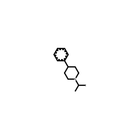 CC(I)N1CCC(c2ccccc2)CC1